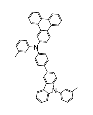 Cc1cccc(N(c2ccc(-c3ccc4c(c3)c3ccccc3n4-c3cccc(C)c3)cc2)c2ccc3c4ccccc4c4ccccc4c3c2)c1